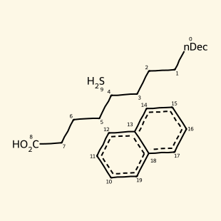 CCCCCCCCCCCCCCCCCC(=O)O.S.c1ccc2ccccc2c1